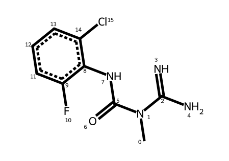 CN(C(=N)N)C(=O)Nc1c(F)cccc1Cl